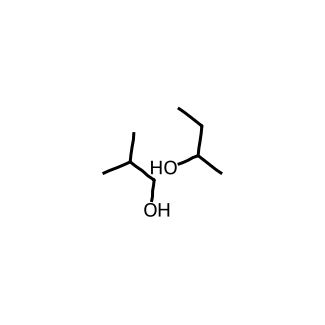 CC(C)CO.CCC(C)O